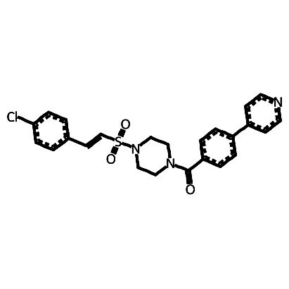 O=C(c1ccc(-c2ccncc2)cc1)N1CCN(S(=O)(=O)C=Cc2ccc(Cl)cc2)CC1